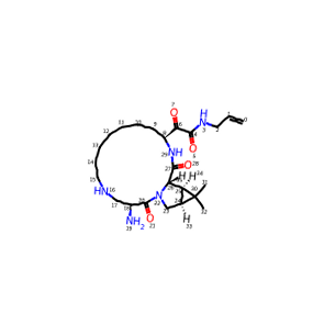 C=CCNC(=O)C(=O)[C@@H]1CCCCCCCNC[C@H](N)C(=O)N2C[C@H]3[C@@H]([C@H]2C(=O)N1)C3(C)C